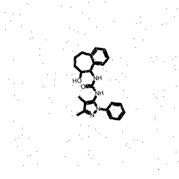 Cc1nn(-c2ccccc2)c(NC(=O)NC2c3ccccc3CCCC2O)c1C